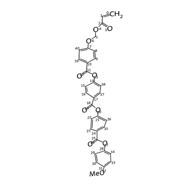 C=CC(=O)OCOc1ccc(C(=O)Oc2ccc(C(=O)Oc3ccc(C(=O)Oc4ccc(OC)cc4)cc3)cc2)cc1